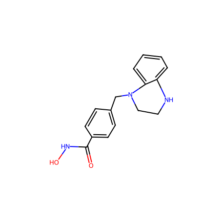 O=C(NO)c1ccc(CN2CCNc3ccccc32)cc1